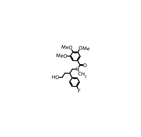 COc1cc(C(=O)N(C)CC(CCO)c2ccc(F)cc2)cc(OC)c1OC